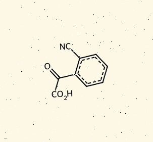 N#Cc1ccccc1C(=O)C(=O)O